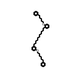 [CH](CCCCCc1cccc(OCCCCCCc2ccccc2)c1)CCCCCc1ccccc1OCCCCCc1ccccc1